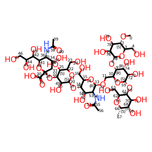 CO[C@@H]1C(CO)O[C@H](O[C@H]2C(CO[C@@H]3OC(CO)[C@@H](O[C@@H]4OC(CO)[C@H](O)[C@H](O[C@]5(C(=O)O)C[C@@H](O)[C@@H](NC(C)=O)C(C(O)C(O)CO)O5)C4O)[C@H](O)C3NC(C)=O)O[C@@H](O[C@@H]3C(CO)O[C@@H](C)[C@@H](O)C3O)C(O)[C@H]2O)[C@@H](O)C1O